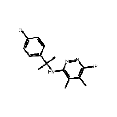 Cc1c(NC(C)(C)c2ccc(Cl)cc2)nnc(C(C)C)c1C